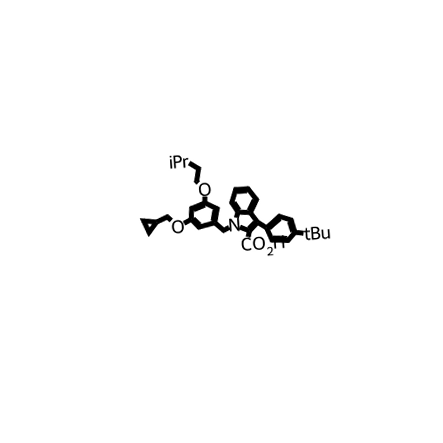 CC(C)CCOc1cc(Cn2c(C(=O)O)c(-c3ccc(C(C)(C)C)cc3)c3ccccc32)cc(OCC2CC2)c1